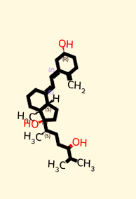 C=C1CC[C@@H](O)C/C1=C/C=C1\CCC[C@@]2(C)[C@H]1CC[C@]2(O)[C@@H](C)CCC(O)C(C)C